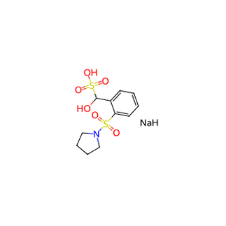 O=S(=O)(O)C(O)c1ccccc1S(=O)(=O)N1CCCC1.[NaH]